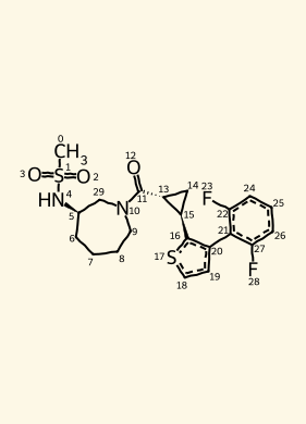 CS(=O)(=O)N[C@@H]1CCCCN(C(=O)[C@@H]2C[C@H]2c2sccc2-c2c(F)cccc2F)C1